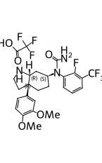 COc1ccc([C@@]23CCN[C@@H]2C[C@@H](N(C(N)=O)c2cccc(C(F)(F)F)c2F)CC3)cc1OC.O=C(O)C(F)(F)F